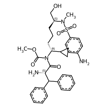 COC(=O)N(C(=O)[C@@H](N)C(c1ccccc1)c1ccccc1)[C@H](CCC[C@@H](CO)N(C)S(=O)(=O)c1ccc(N)cc1)C1CC1